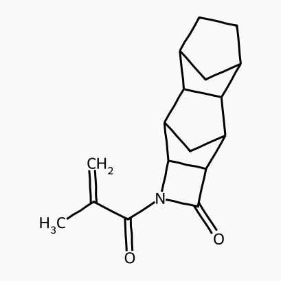 C=C(C)C(=O)N1C(=O)C2C3CC(C4C5CCC(C5)C34)C21